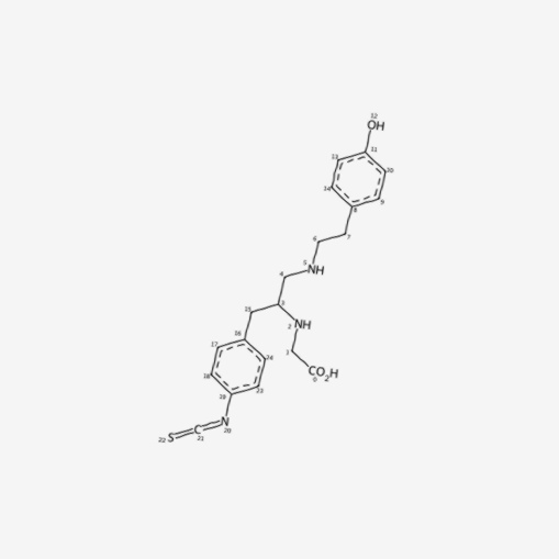 O=C(O)CNC(CNCCc1ccc(O)cc1)Cc1ccc(N=C=S)cc1